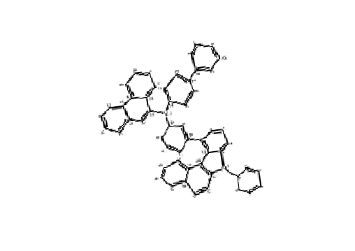 C1=CCC(n2c3cccc(C4=CC(N(c5ccc(-c6ccccc6)cc5)c5cc6ccccc6c6ccccc56)CC=C4)c3c3c4ccccc4ccc32)C=C1